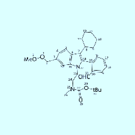 COOCc1ccc2c(C3CCCCC3)c(-c3ccccc3C=O)n(CCN(C)C(=O)OC(C)(C)C)c2c1